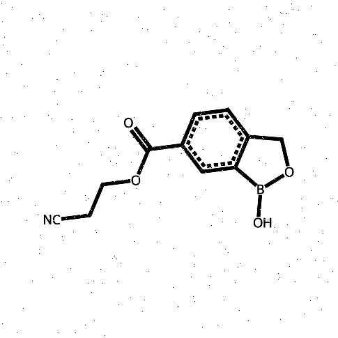 N#CCCOC(=O)c1ccc2c(c1)B(O)OC2